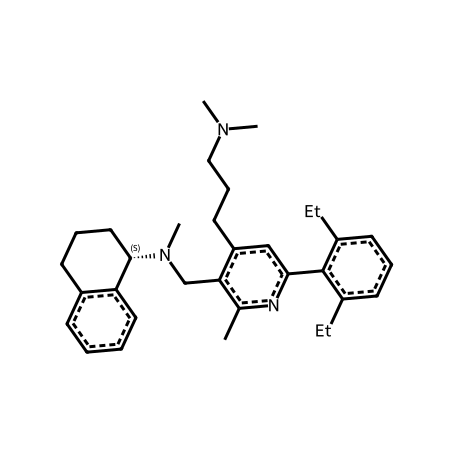 CCc1cccc(CC)c1-c1cc(CCCN(C)C)c(CN(C)[C@H]2CCCc3ccccc32)c(C)n1